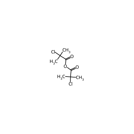 CC(C)(Cl)C(=O)OC(=O)C(C)(C)Cl